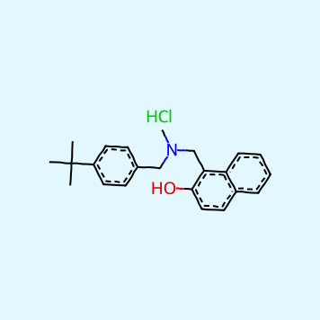 CN(Cc1ccc(C(C)(C)C)cc1)Cc1c(O)ccc2ccccc12.Cl